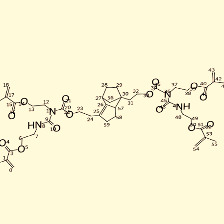 C=C(C)C(=O)OCCNC(=O)N(CCOC(=O)C(=C)C)C(=O)OCCC1=C2C3CCC(CCOC(=O)N(CCOC(=O)C(=C)C)C(=O)NCCOC(=O)C(=C)C)(C3)C2CC1